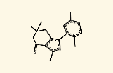 Cc1ccc(C)c(-c2[nH]c(C)c3c2CC(C)(C)CC3=O)c1